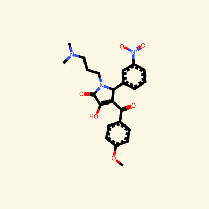 COc1ccc(C(=O)C2=C(O)C(=O)N(CCCN(C)C)C2c2cccc([N+](=O)[O-])c2)cc1